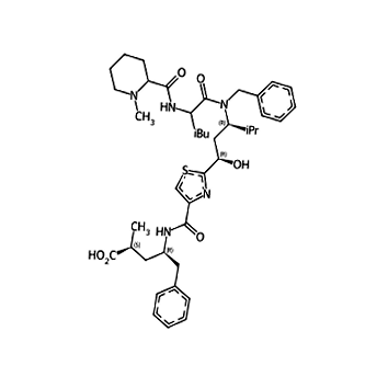 CCC(C)C(NC(=O)C1CCCCN1C)C(=O)N(Cc1ccccc1)[C@H](C[C@@H](O)c1nc(C(=O)N[C@@H](Cc2ccccc2)C[C@H](C)C(=O)O)cs1)C(C)C